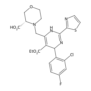 CCOC(=O)C1=C(CN2CCOC[C@H]2C(=O)O)NC(c2nccs2)=NC1c1ccc(F)cc1Cl